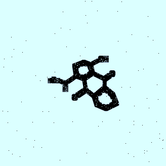 CCCCNc1ccc(O)c2c1C(=O)c1ccccc1C2=O